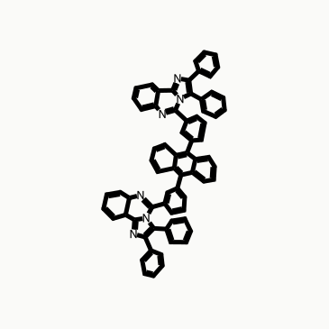 C1=CC2N=C(c3cccc(-c4c5ccccc5c(-c5cccc(-c6nc7ccccc7c7nc(-c8ccccc8)c(-c8ccccc8)n67)c5)c5ccccc45)c3)n3c(nc(-c4ccccc4)c3-c3ccccc3)C2C=C1